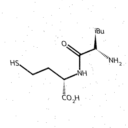 CC[C@H](C)[C@H](N)C(=O)N[C@@H](CCS)C(=O)O